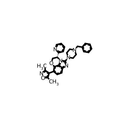 Cc1noc(C)c1-c1ccc2nc(N3CCN(Cc4ccccc4)CC3)n3c2c1OC[C@@H]3c1ccccn1